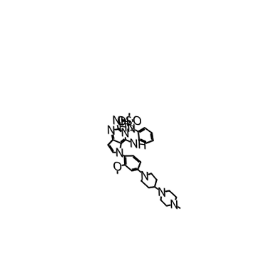 COc1cc(N2CCC(N3CCN(C)CC3)CC2)ccc1-n1ccc2nc(N)nc(Nc3ccccc3NS(C)(=O)=O)c21